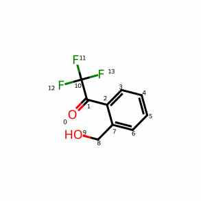 O=C(c1ccccc1CO)C(F)(F)F